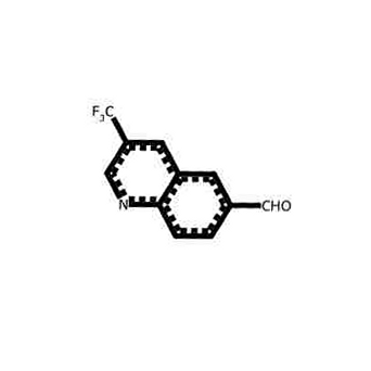 O=Cc1ccc2ncc(C(F)(F)F)cc2c1